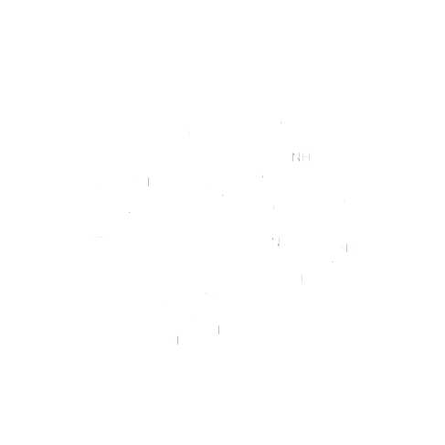 [2H]C1([2H])Oc2cc(CC(=O)c3sccc3S(=O)(=O)Nc3onc(C([2H])([2H])[2H])c3Cl)c(C([2H])([2H])[2H])cc2O1